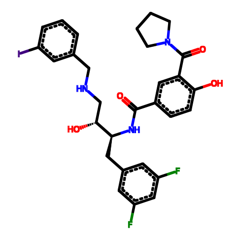 O=C(N[C@@H](Cc1cc(F)cc(F)c1)[C@H](O)CNCc1cccc(I)c1)c1ccc(O)c(C(=O)N2CCCC2)c1